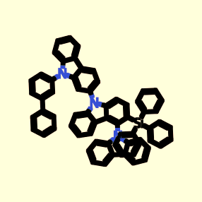 c1ccc(-c2cccc(-n3c4ccccc4c4ccc(-n5c6ccccc6c6c(-n7c8ccccc8c8ccccc87)c([Si](c7ccccc7)(c7ccccc7)c7ccccc7)ccc65)cc43)c2)cc1